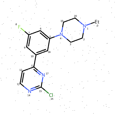 CCN1CCN(c2cc(F)cc(-c3ccnc(Cl)n3)c2)CC1